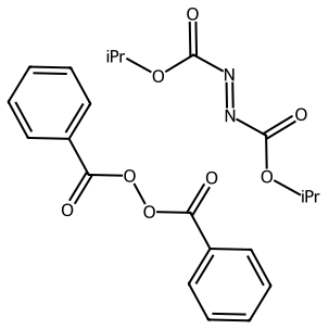 CC(C)OC(=O)N=NC(=O)OC(C)C.O=C(OOC(=O)c1ccccc1)c1ccccc1